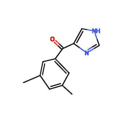 Cc1cc(C)cc(C(=O)c2c[nH]cn2)c1